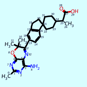 Cc1nc(N)c2c(n1)OC(C)(C)C(c1ccc3c(c1)CCC31CCC([C@@H](C)C(=O)O)CC1)=N2